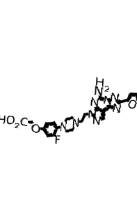 Nc1nc2c(cnn2CCN2CCN(c3ccc(OCC(=O)O)cc3F)CC2)c2nc(-c3ccco3)nn12